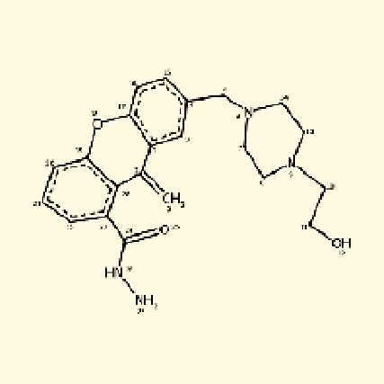 C=C1c2cc(CN3CCN(CCO)CC3)ccc2Oc2cccc(C(=O)NN)c21